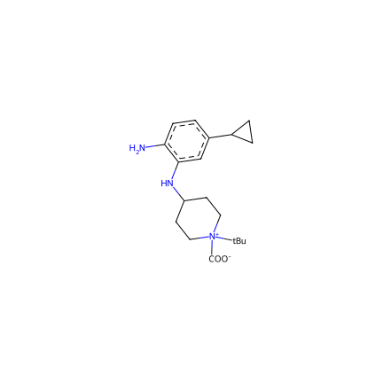 CC(C)(C)[N+]1(C(=O)[O-])CCC(Nc2cc(C3CC3)ccc2N)CC1